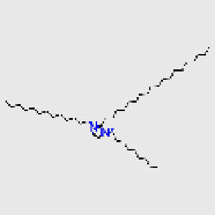 CCCCCCCCCCCCCCCCCCCc1n(CCCCCCCCCCCCC)cc[n+]1CCCCCCCCC